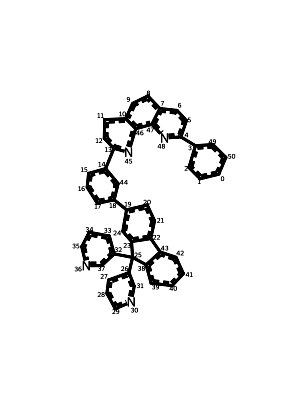 c1ccc(-c2ccc3ccc4ccc(-c5cccc(-c6ccc7c(c6)C(c6cccnc6)(c6cccnc6)c6ccccc6-7)c5)nc4c3n2)cc1